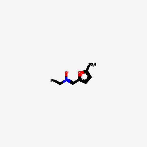 CC(C)C[N+]([O-])=Cc1ccc(S(=O)(=O)O)o1